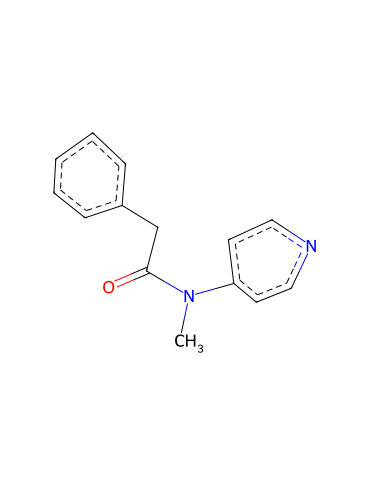 CN(C(=O)Cc1ccccc1)c1ccncc1